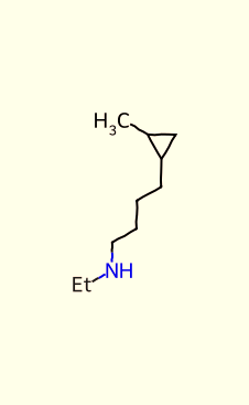 CCNCCCCC1CC1C